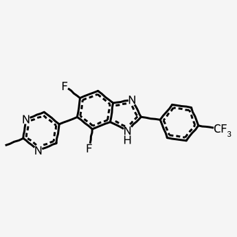 Cc1ncc(-c2c(F)cc3nc(-c4ccc(C(F)(F)F)cc4)[nH]c3c2F)cn1